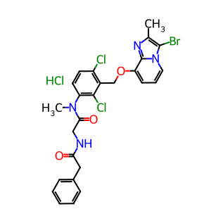 Cc1nc2c(OCc3c(Cl)ccc(N(C)C(=O)CNC(=O)Cc4ccccc4)c3Cl)cccn2c1Br.Cl